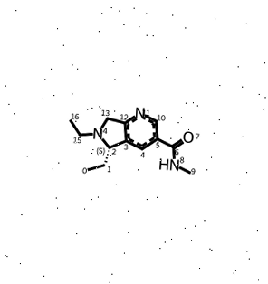 CC[C@H]1c2cc(C(=O)NC)cnc2CN1CC